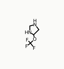 FC(F)(F)OC1CNCN1